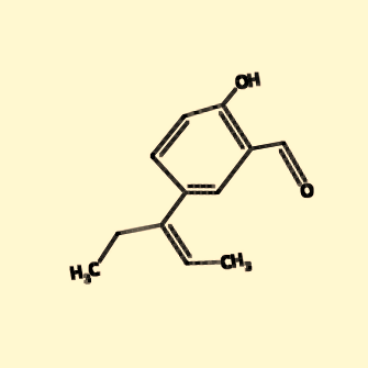 C/C=C(/CC)c1ccc(O)c(C=O)c1